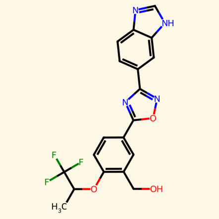 CC(Oc1ccc(-c2nc(-c3ccc4nc[nH]c4c3)no2)cc1CO)C(F)(F)F